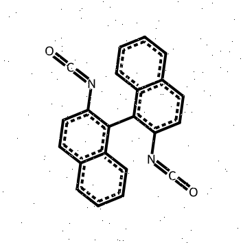 O=C=Nc1ccc2ccccc2c1-c1c(N=C=O)ccc2ccccc12